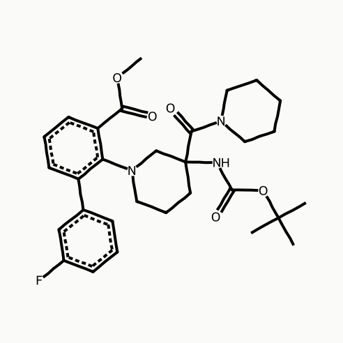 COC(=O)c1cccc(-c2cccc(F)c2)c1N1CCCC(NC(=O)OC(C)(C)C)(C(=O)N2CCCCC2)C1